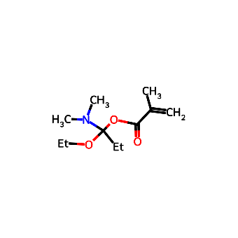 C=C(C)C(=O)OC(CC)(OCC)N(C)C